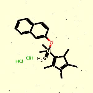 CC1=C(C)C(C)[C]([Ti]([CH3])([CH3])(=[SiH2])[O]c2ccc3ccccc3c2)=C1C.Cl.Cl